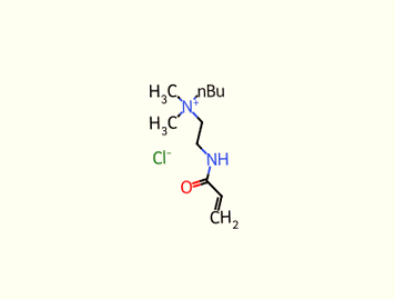 C=CC(=O)NCC[N+](C)(C)CCCC.[Cl-]